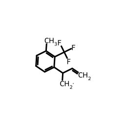 [CH2]C(C=C)c1cccc(C)c1C(F)(F)F